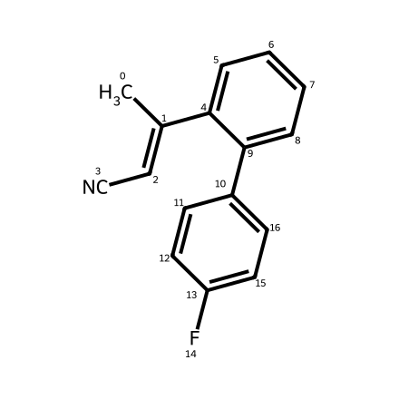 CC(=CC#N)c1ccccc1-c1ccc(F)cc1